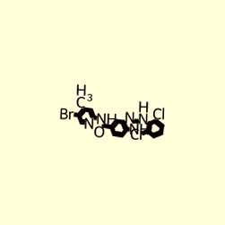 Cc1cc(NC(=O)c2ccc3[nH]c(Nc4c(Cl)cccc4Cl)nc3c2)ncc1Br